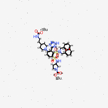 CC(C)(C)OC(=O)NCCC1CCN(c2ccc(S(=O)(=O)NC3CCN(C(=O)OC(C)(C)C)C3)c(S(=O)(=O)N(Cc3ccccc3)Cc3ccccc3)c2-c2nn[nH]n2)CC1